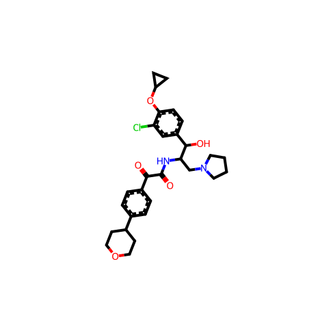 O=C(NC(CN1CCCC1)C(O)c1ccc(OC2CC2)c(Cl)c1)C(=O)c1ccc(C2CCOCC2)cc1